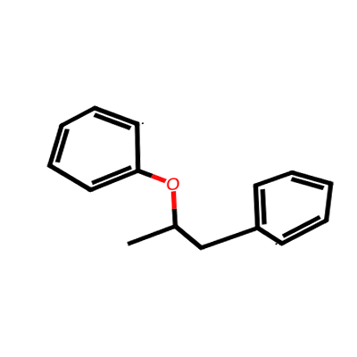 CC(Cc1[c]cccc1)Oc1[c]cccc1